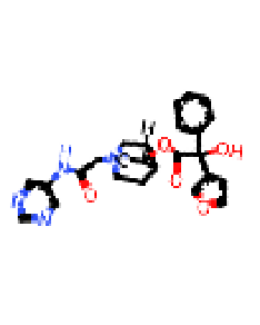 O=C(C[N+]12CCC(CC1)[C@@H](OC(=O)C(O)(c1ccccc1)c1ccoc1)C2)Nc1cncnc1